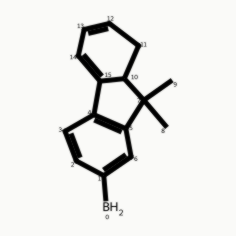 Bc1ccc2c(c1)C(C)(C)C1CC=CC=C21